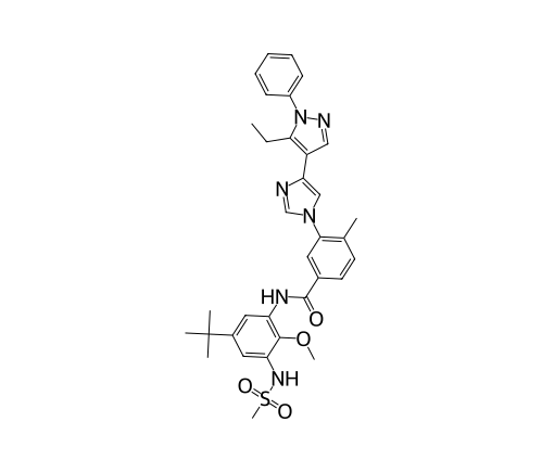 CCc1c(-c2cn(-c3cc(C(=O)Nc4cc(C(C)(C)C)cc(NS(C)(=O)=O)c4OC)ccc3C)cn2)cnn1-c1ccccc1